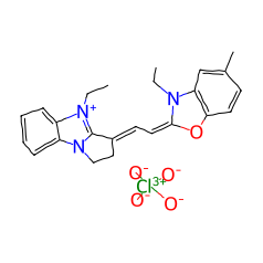 CCN1C(=CC=C2CCn3c2[n+](CC)c2ccccc23)Oc2ccc(C)cc21.[O-][Cl+3]([O-])([O-])[O-]